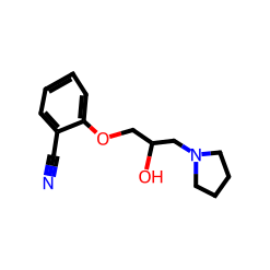 N#Cc1ccccc1OCC(O)CN1CCCC1